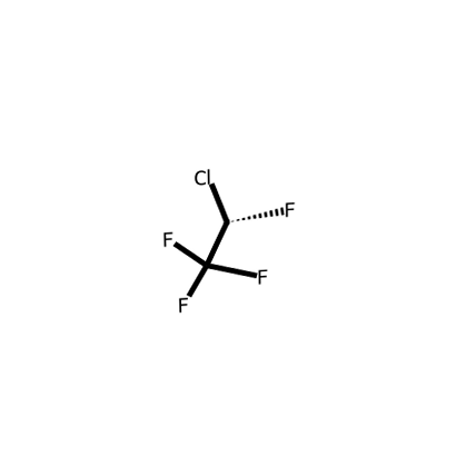 F[C@@H](Cl)C(F)(F)F